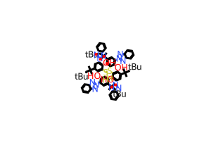 CC(C)(C)CC(C)(C)c1cc(-n2nc3ccccc3n2)c(O)c([SH](c2cc(C(C)(C)CC(C)(C)C)cc(-n3nc4ccccc4n3)c2O)[SH](c2cc(C(C)(C)CC(C)(C)C)cc(-n3nc4ccccc4n3)c2O)c2cc(C(C)(C)CC(C)(C)C)cc(-n3nc4ccccc4n3)c2O)c1